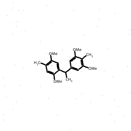 COc1cc(C(C)c2cc(OC)c(C)c(OC)c2)c(OC)cc1C